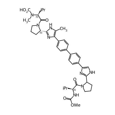 COC(=O)N[C@H](C(=O)N1CCCC1c1nc(-c2ccc(-c3ccc(-c4nc([C@@H]5CCCN5C(=O)[C@H](C(C)C)N(C)C(=O)O)[nH]c4C)cc3)cc2)c[nH]1)C(C)C